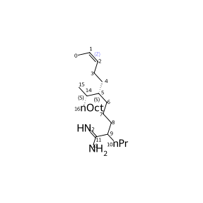 C/C=C\CC[C@H](CCCC(CCC)C(=N)N)[C@@H](C)CCCCCCCC